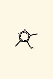 Cc1nsc(C)c1C(C)C